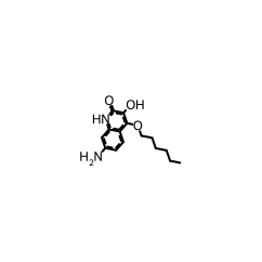 CCCCCCOc1c(O)c(=O)[nH]c2cc(N)ccc12